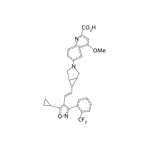 COc1cc(C(=O)O)nc2ccc(N3CC4C(/C=C/c5c(-c6ccccc6C(F)(F)F)noc5C5CC5)C4C3)cc12